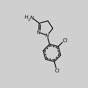 NC1=NN(c2ccc(Cl)cc2Cl)CC1